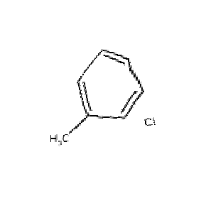 Cc1ccccc1.[C]